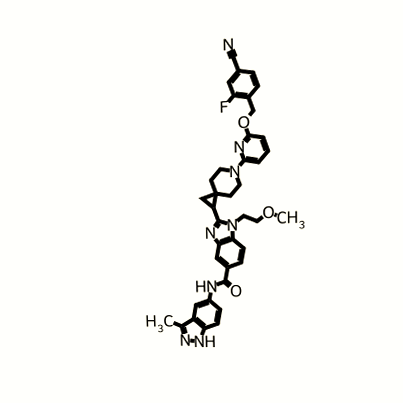 COCCn1c(C2CC23CCN(c2cccc(OCc4ccc(C#N)cc4F)n2)CC3)nc2cc(C(=O)Nc3ccc4[nH]nc(C)c4c3)ccc21